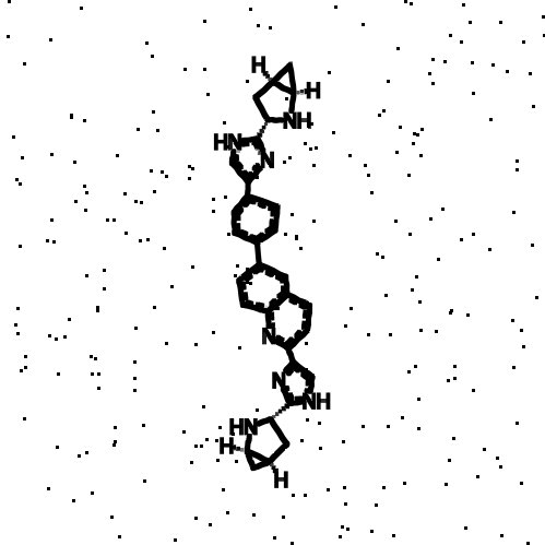 c1cc(-c2c[nH]c([C@@H]3C[C@H]4C[C@H]4N3)n2)ccc1-c1ccc2nc(-c3c[nH]c([C@@H]4C[C@H]5C[C@H]5N4)n3)ccc2c1